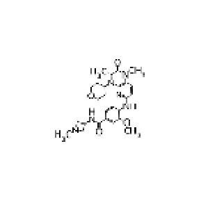 COc1cc(C(=O)NC2CN(C)C2)ccc1Nc1ccc2c(n1)N(C1CCOCC1)[C@H](C)C(=O)N2C